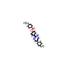 CCCC[C@H]1CC[C@H](C(=O)Oc2ccc(-c3ncc([C@H]4CC[C@H](CCC)CC4)cn3)cc2)CC1